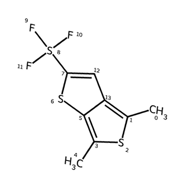 Cc1sc(C)c2sc(S(F)(F)F)cc12